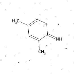 CC1=CCC(=N)C(C)=C1